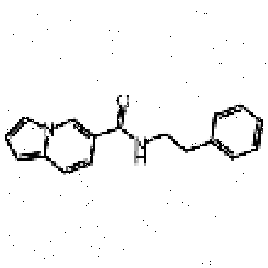 O=C(NCCc1ccccc1)c1ccc2cccn2c1